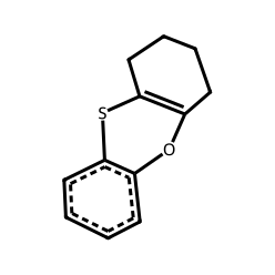 c1ccc2c(c1)OC1=C(CCCC1)S2